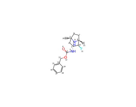 O=C(N[C@@H]1C[C@@H]2CC[C@@H](N2)[C@H]1F)OCc1ccccc1